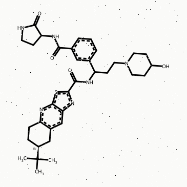 CC(C)(C)[C@H]1CCc2nc3sc(C(=O)NC(CCN4CCC(O)CC4)c4cccc(C(=O)NC5CCNC5=O)c4)nc3cc2C1